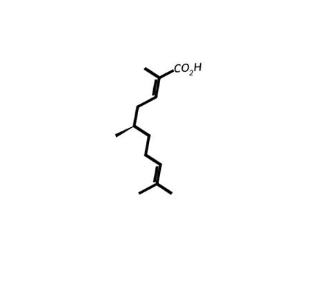 CC(C)=CCC[C@@H](C)CC=C(C)C(=O)O